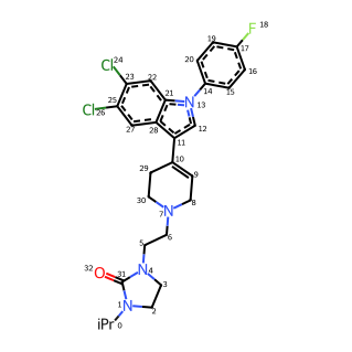 CC(C)N1CCN(CCN2CC=C(c3cn(-c4ccc(F)cc4)c4cc(Cl)c(Cl)cc34)CC2)C1=O